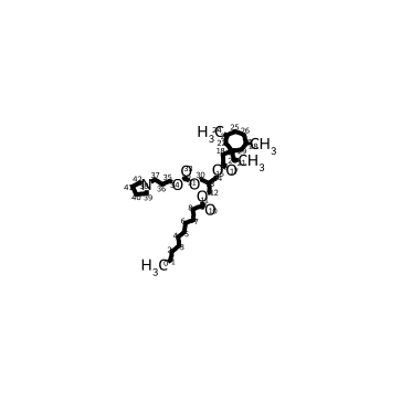 CCCCCCCCCC(=O)OCC(COC(=O)CC1(CC)CC(C)CC[C@@H](C)C1)COC(=O)OCCCN1CCCC1